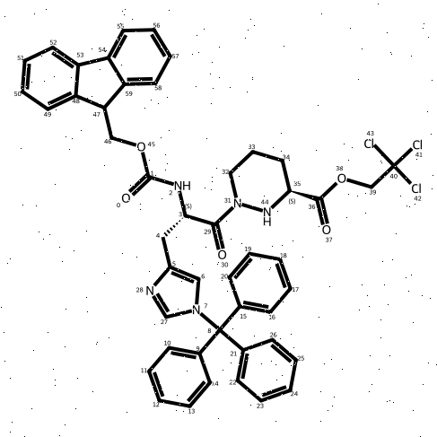 O=C(N[C@@H](Cc1cn(C(c2ccccc2)(c2ccccc2)c2ccccc2)cn1)C(=O)N1CCC[C@@H](C(=O)OCC(Cl)(Cl)Cl)N1)OCC1c2ccccc2-c2ccccc21